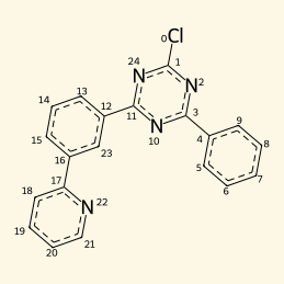 Clc1nc(-c2ccccc2)nc(-c2cccc(-c3ccccn3)c2)n1